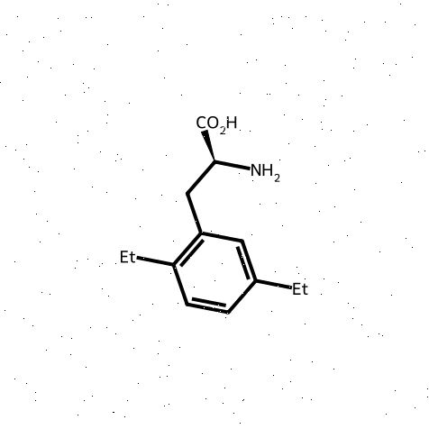 CCc1ccc(CC)c(C[C@H](N)C(=O)O)c1